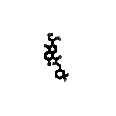 C[C@H](CO)n1ccc2c(C(=O)NCC3CCCC(F)(F)C3)c(Cl)ccc2c1=O